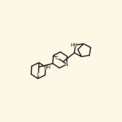 C1CC2NCC1CC2C1CN2CCC1CC2C1NC2CCC1C2